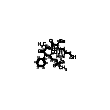 CC[C@H](C)[C@H](NC[C@@H](N)CS)C(=O)N[C@@H](C)C(=O)N(c1ccccc1)[C@@H](CCS(C)(=O)=O)C(=O)O